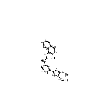 CCOc1cc(-c2cc(NCCc3c(Cl)ccc4cccnc34)ncn2)sc1C(=O)O